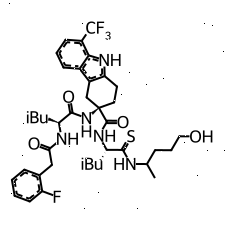 CCC(C)[C@H](NC(=O)Cc1ccccc1F)C(=O)N[C@]1(C(=O)N[C@H](C(=S)NC(C)CCCO)C(C)CC)CCc2[nH]c3c(C(F)(F)F)cccc3c2C1